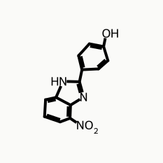 O=[N+]([O-])c1cccc2[nH]c(-c3ccc(O)cc3)nc12